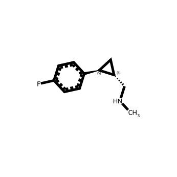 CNC[C@H]1C[C@@H]1c1ccc(F)cc1